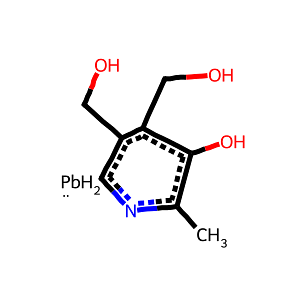 Cc1ncc(CO)c(CO)c1O.[PbH2]